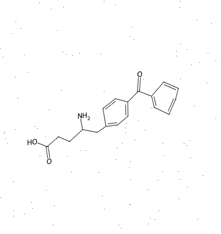 NC(CCC(=O)O)Cc1ccc(C(=O)c2ccccc2)cc1